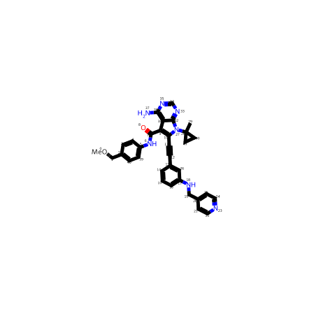 COCc1ccc(NC(=O)c2c(C#Cc3cccc(NCc4ccncc4)c3)n(C3(C)CC3)c3ncnc(N)c23)cc1